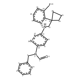 O=CN(Cc1ccccn1)c1ccc(NCC2(c3ncccc3F)CCC2)nn1